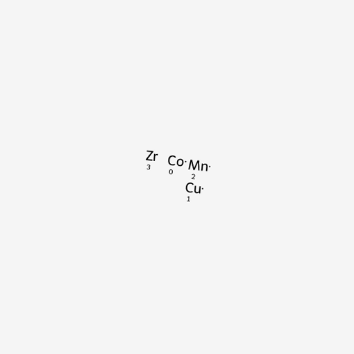 [Co].[Cu].[Mn].[Zr]